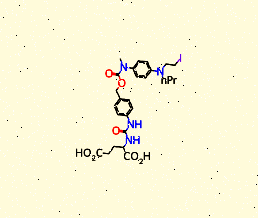 CCCN(CCI)c1ccc(N(C)C(=O)OCc2ccc(NC(=O)NC(CCC(=O)O)C(=O)O)cc2)cc1